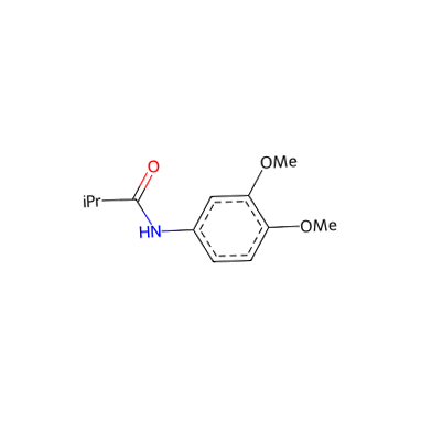 COc1ccc(NC(=O)C(C)C)cc1OC